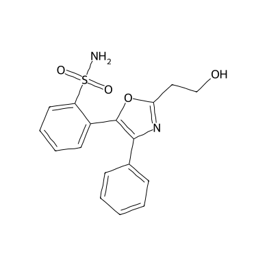 NS(=O)(=O)c1ccccc1-c1oc(CCO)nc1-c1ccccc1